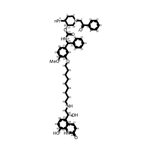 CCCC1CCN(CC(=O)c2ccccc2)C[C@@H]1OC(=O)NC(c1ccccc1)c1ccc(OC)c(OCCCCCCCCCNC[C@H](O)c2ccc(O)c3[nH]c(=O)ccc23)c1